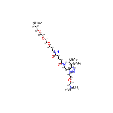 CO[C@H]1CN(C(=O)CCCC(=O)NCCCOCCOCCOCCCNC(C)=O)CCc2c(nnn2CCOCCN(C)C(C)(C)C)[C@@H]1OC